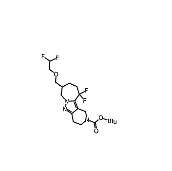 CC(C)(C)OC(=O)N1CCc2nn3c(c2C1)C(F)(F)CCC(COCC(F)F)C3